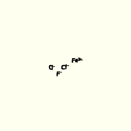 [Cl-].[Cl-].[F-].[Fe+3]